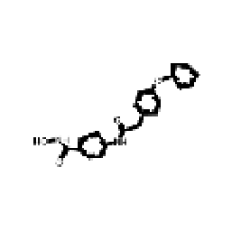 O=C(Cc1ccc(Oc2ccccc2)cc1)Nc1ccc(C(=O)NO)cc1